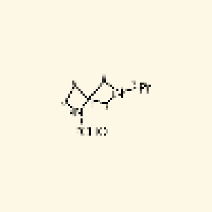 CC(C)N1CC2(CCN2C=O)C1